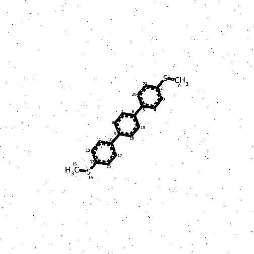 CSc1ccc(-c2ccc(-c3ccc(SC)cc3)cc2)cc1